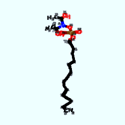 CCCCCCCCCCCCOS(=O)(=O)ON(C(C)O)C(C)O